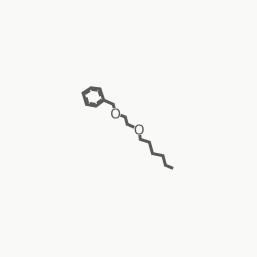 CCCCCCOCCOCc1ccccc1